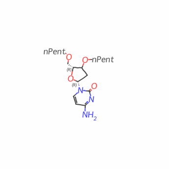 CCCCCOC[C@H]1O[C@@H](n2ccc(N)nc2=O)CC1OCCCCC